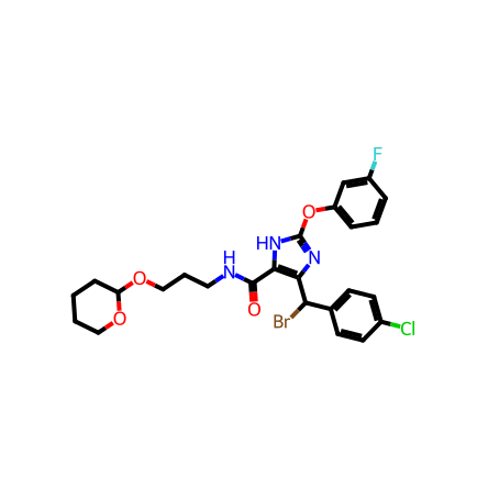 O=C(NCCCOC1CCCCO1)c1[nH]c(Oc2cccc(F)c2)nc1C(Br)c1ccc(Cl)cc1